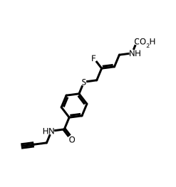 C#CCNC(=O)c1ccc(SC/C(F)=C/CNC(=O)O)cc1